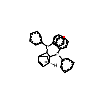 C1=C[C@H]2CC1C(P(c1ccccc1)c1ccccc1)C2P(c1ccccc1)c1ccccc1